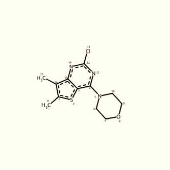 Cc1sc2c(N3CCOCC3)nc(Cl)nc2c1C